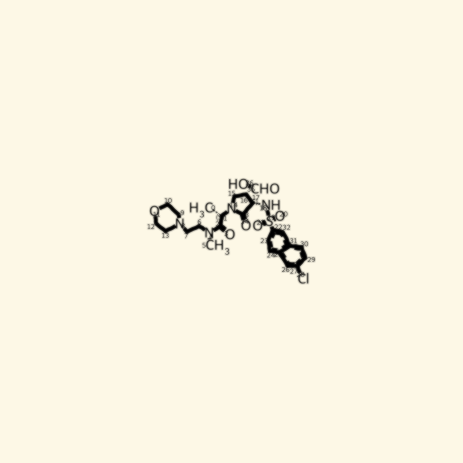 C[C@@H](C(=O)N(C)CCN1CCOCC1)N1CC[C@H](NS(=O)(=O)c2ccc3cc(Cl)ccc3c2)C1=O.O=CO